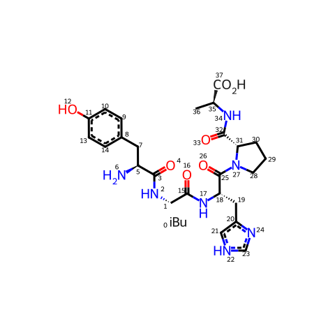 CC[C@H](C)[C@H](NC(=O)[C@@H](N)Cc1ccc(O)cc1)C(=O)N[C@@H](Cc1c[nH]cn1)C(=O)N1CCC[C@H]1C(=O)N[C@@H](C)C(=O)O